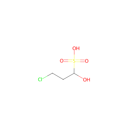 O=S(=O)(O)C(O)CCCl